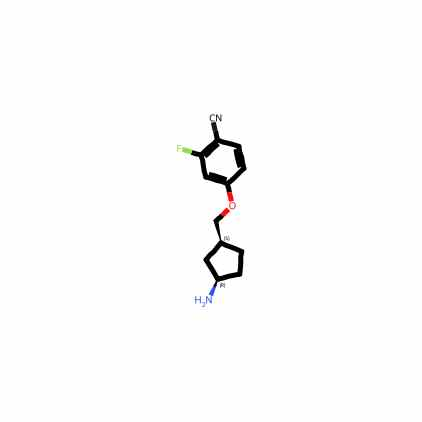 N#Cc1ccc(OC[C@H]2CC[C@@H](N)C2)cc1F